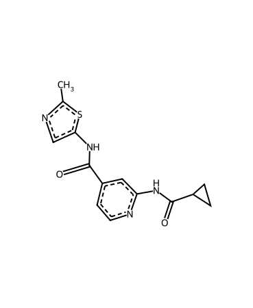 Cc1ncc(NC(=O)c2ccnc(NC(=O)C3CC3)c2)s1